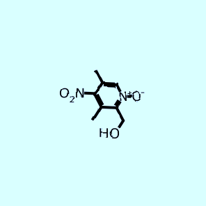 Cc1c[n+]([O-])c(CO)c(C)c1[N+](=O)[O-]